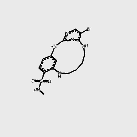 CNS(=O)(=O)c1ccc2cc1NCCCCNc1nc(ncc1Br)N2